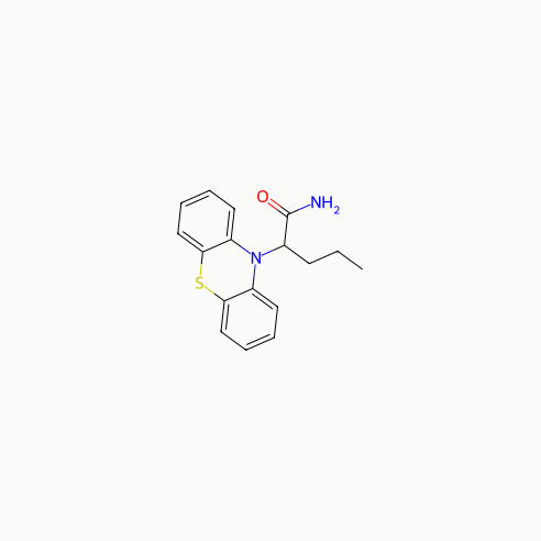 CCCC(C(N)=O)N1c2ccccc2Sc2ccccc21